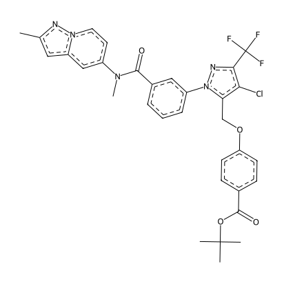 Cc1cc2cc(N(C)C(=O)c3cccc(-n4nc(C(F)(F)F)c(Cl)c4COc4ccc(C(=O)OC(C)(C)C)cc4)c3)ccn2n1